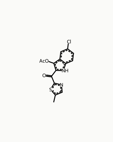 CC(=O)Oc1c(C(=O)c2ncc(C)s2)[nH]c2ccc(Cl)cc12